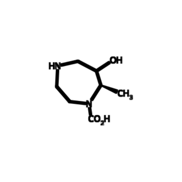 C[C@@H]1C(O)CNCCN1C(=O)O